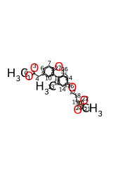 COC(=O)Cc1ccc2c(c1)-c1c(C)cc(OCCCS(C)(=O)=O)cc1CO2